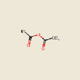 C[CH]C(=O)OC(=O)C(Cl)(Cl)Cl